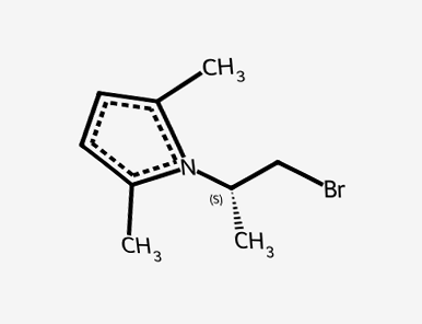 Cc1ccc(C)n1[C@@H](C)CBr